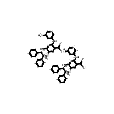 Cc1cncc(Nc2nc(N[C@@H](c3ccccc3)[C@H](N)c3ccccc3)c(F)cc2C(N)=O)c1.Cc1cncc(Nc2nc(N[C@H](c3ccccc3)[C@@H](N)c3ccccc3)c(F)cc2C(N)=O)c1